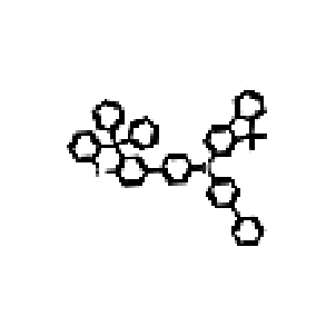 CC1(C)c2ccccc2-c2ccc(N(c3ccc(-c4ccccc4)cc3)c3ccc(-c4ccc5c(c4)C(c4ccccc4)(c4ccccc4)c4ccccc4O5)cc3)cc21